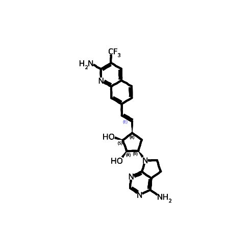 Nc1nc2cc(/C=C/[C@H]3C[C@@H](N4CCc5c(N)ncnc54)[C@@H](O)[C@H]3O)ccc2cc1C(F)(F)F